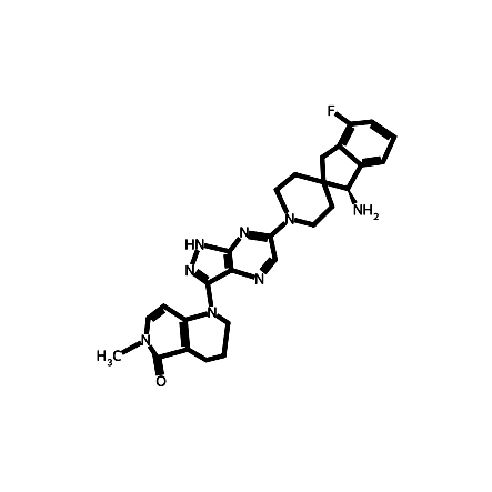 Cn1ccc2c(c1=O)CCCN2c1n[nH]c2nc(N3CCC4(CC3)Cc3c(F)cccc3[C@H]4N)cnc12